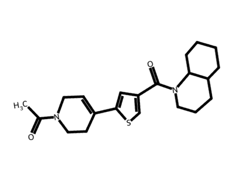 CC(=O)N1CC=C(c2cc(C(=O)N3CCCC4CCCCC43)cs2)CC1